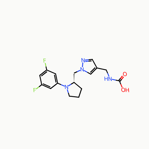 O=C(O)NCc1cnn(C[C@@H]2CCCN2c2cc(F)cc(F)c2)c1